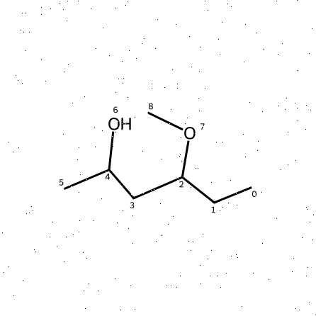 CCC(CC(C)O)OC